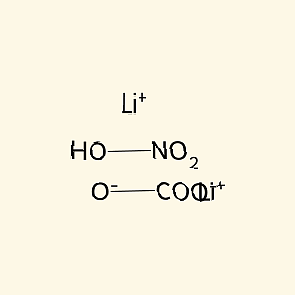 O=C([O-])[O-].O=[N+]([O-])O.[Li+].[Li+]